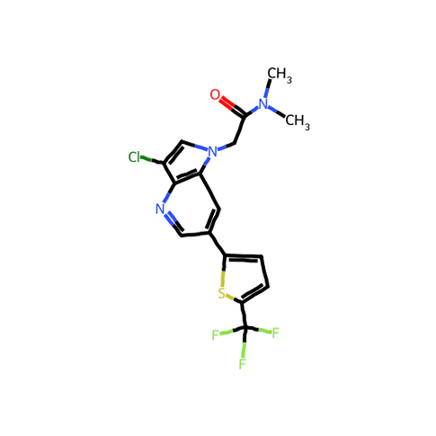 CN(C)C(=O)Cn1cc(Cl)c2ncc(-c3ccc(C(F)(F)F)s3)cc21